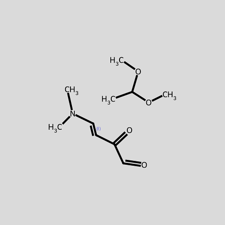 CN(C)/C=C/C(=O)C=O.COC(C)OC